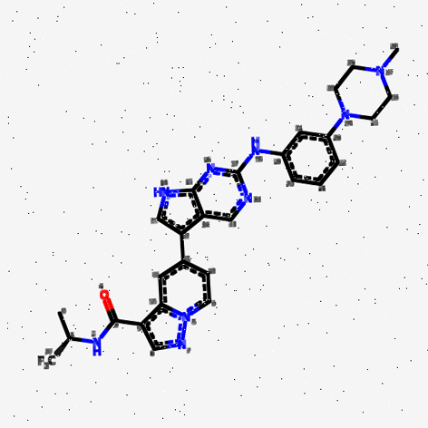 C[C@@H](NC(=O)c1cnn2ccc(-c3c[nH]c4nc(Nc5cccc(N6CCN(C)CC6)c5)ncc34)cc12)C(F)(F)F